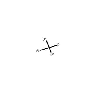 [O]C(Br)(Br)Br